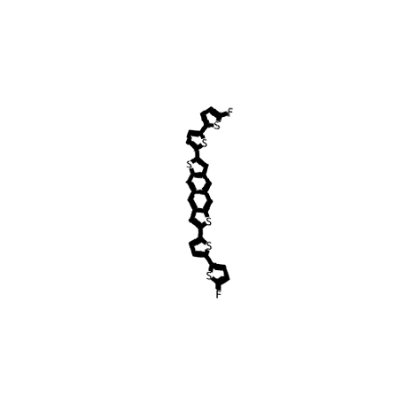 Fc1ccc(-c2ccc(-c3cc4cc5cc6sc(-c7ccc(-c8ccc(F)s8)s7)cc6cc5cc4s3)s2)s1